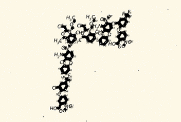 CCOCN(C(=O)CCl)c1c(C)cccc1CC.CCOCN(C(=O)CCl)c1c(C)cccc1CC.Nc1c([N+](=O)[O-])ccc(Oc2ccccc2)c1Cl.Nc1c([N+](=O)[O-])ccc(Oc2ccccc2)c1Cl.O=C(O)c1cc(Oc2ccc(C(F)(F)F)cc2Cl)ccc1[N+](=O)[O-].O=C(O)c1cc(Oc2ccc(C(F)(F)F)cc2Cl)ccc1[N+](=O)[O-]